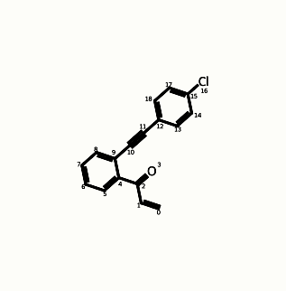 C=CC(=O)c1ccccc1C#Cc1ccc(Cl)cc1